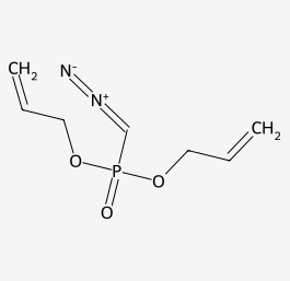 C=CCOP(=O)(C=[N+]=[N-])OCC=C